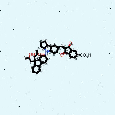 C=C(O)CC1(CC(=C)O)c2ccccc2-c2ccc(N3c4ccc(C=C5C(=O)c6ccc(C(=O)O)cc6C5=O)cc4C4CCCC43)cc21